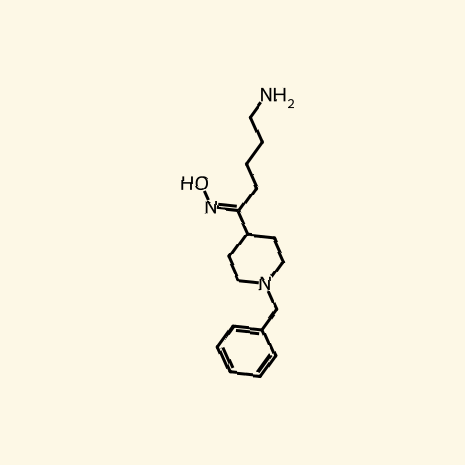 NCCCCC(=NO)C1CCN(Cc2ccccc2)CC1